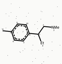 CCC(CNC)c1ccc(C)cc1